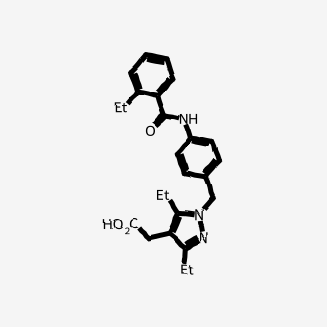 CCc1ccccc1C(=O)Nc1ccc(Cn2nc(CC)c(CC(=O)O)c2CC)cc1